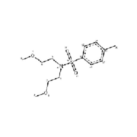 COCCN(CCOC)S(=O)(=O)c1ccc(C)cc1